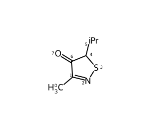 CC1=NSC(C(C)C)C1=O